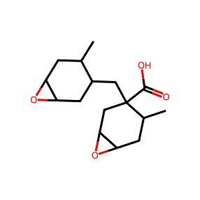 CC1CC2OC2CC1CC1(C(=O)O)CC2OC2CC1C